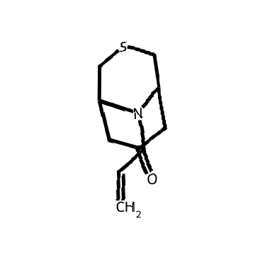 C=CCN1C2CSCC1CC(=O)C2